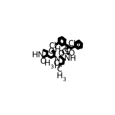 CC(C)CC(NC(=O)OC(c1ccccc1)C(C)(C)c1cccc(Cl)c1)C(=O)NC(C=O)CC1CCNC1=O